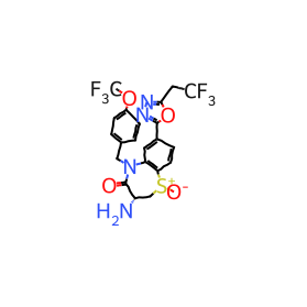 N[C@H]1C[S+]([O-])c2ccc(-c3nnc(CC(F)(F)F)o3)cc2N(Cc2ccc(OC(F)(F)F)cc2)C1=O